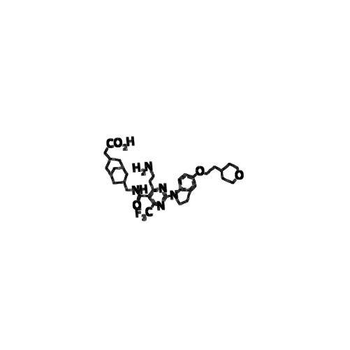 NCCc1nc(N2CCc3cc(OCCC4CCOCC4)ccc32)nc(C(F)(F)F)c1C(=O)NCC1CC2CC(CC(=O)O)CC(C1)C2